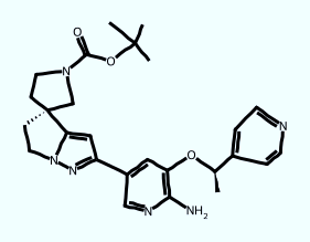 C[C@@H](Oc1cc(-c2cc3n(n2)CC[C@@]32CCN(C(=O)OC(C)(C)C)C2)cnc1N)c1ccncc1